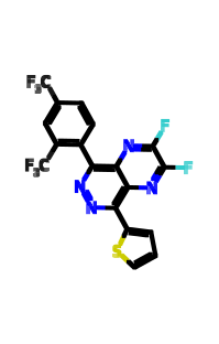 Fc1nc2c(-c3cccs3)nnc(-c3ccc(C(F)(F)F)cc3C(F)(F)F)c2nc1F